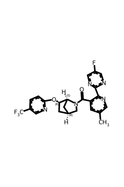 Cc1cnc(-c2ncc(F)cn2)c(C(=O)N2C[C@H]3C[C@@H](Oc4ccc(C(F)(F)F)cn4)[C@@H]2C3)c1